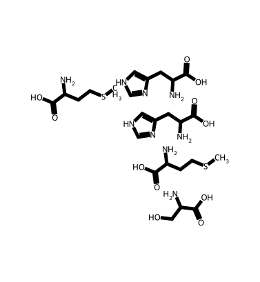 CSCCC(N)C(=O)O.CSCCC(N)C(=O)O.NC(CO)C(=O)O.NC(Cc1c[nH]cn1)C(=O)O.NC(Cc1c[nH]cn1)C(=O)O